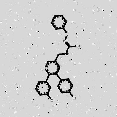 N/C(=N\Sc1ccccc1)NCc1cnc(-c2cccc(Cl)c2)c(-c2ccc(Cl)cc2)c1